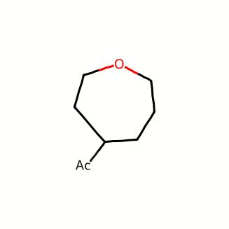 CC(=O)C1CCCOCC1